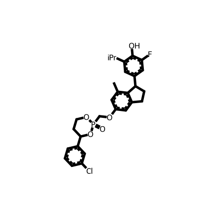 Cc1cc(OCP2(=O)OCCC(c3cccc(Cl)c3)O2)cc2c1C(c1cc(F)c(O)c(C(C)C)c1)CC2